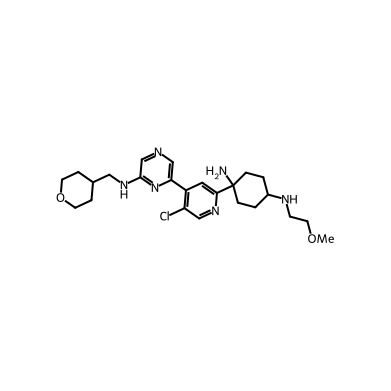 COCCNC1CCC(N)(c2cc(-c3cncc(NCC4CCOCC4)n3)c(Cl)cn2)CC1